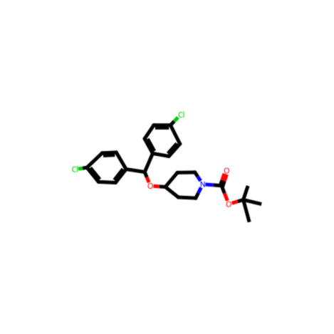 CC(C)(C)OC(=O)N1CCC(OC(c2ccc(Cl)cc2)c2ccc(Cl)cc2)CC1